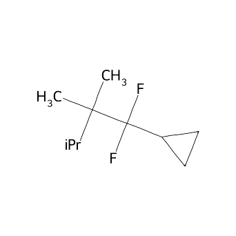 CC(C)C(C)(C)C(F)(F)C1CC1